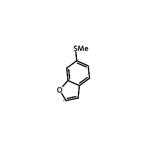 CSc1ccc2c[c]oc2c1